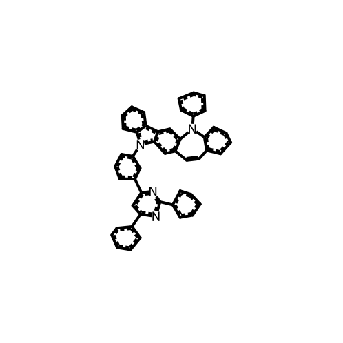 C1=Cc2cc3c(cc2N(c2ccccc2)c2ccccc21)c1ccccc1n3-c1cccc(-c2cc(-c3ccccc3)nc(-c3ccccc3)n2)c1